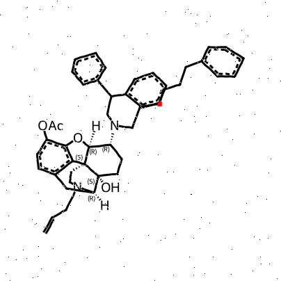 C=CCN1CC[C@]23c4c5ccc(OC(C)=O)c4O[C@H]2[C@H](N(CCCCCCc2ccccc2)CC(c2ccccc2)c2ccccc2)CC[C@@]3(O)[C@H]1C5